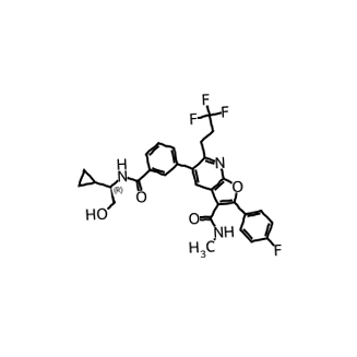 CNC(=O)c1c(-c2ccc(F)cc2)oc2nc(CCC(F)(F)F)c(-c3cccc(C(=O)N[C@@H](CO)C4CC4)c3)cc12